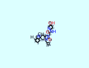 CN(C)[C@]1(c2ccccc2)CC[C@]2(CC1)CN(CC(=O)Nc1ccc(O)cn1)C(=O)N2CC1CCC1